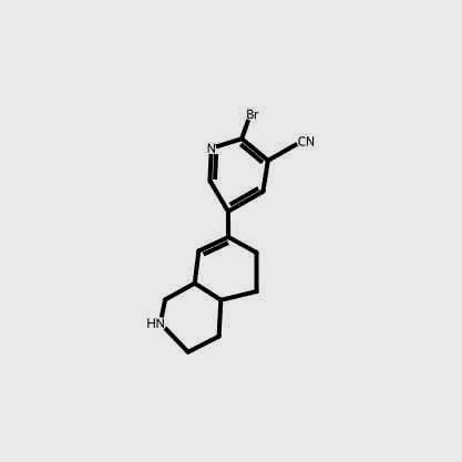 N#Cc1cc(C2=CC3CNCCC3CC2)cnc1Br